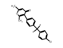 Cc1cc(=O)c(-c2ccc(C(F)(F)c3ccc(Cl)cc3)cc2)c(C)o1